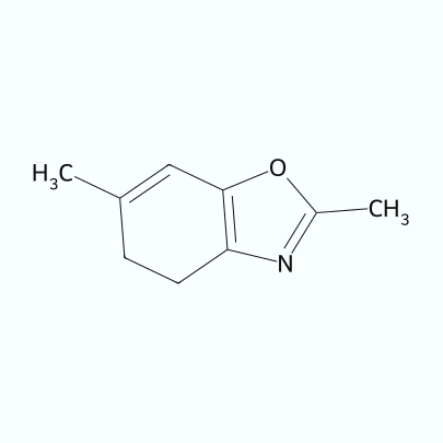 CC1=Cc2oc(C)nc2CC1